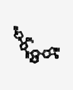 CCN1CCN(c2ccc(Nc3ccc(-c4ccc5c(c4)CNC5=O)n4ccnc34)cc2C)CC1